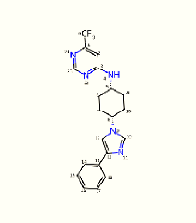 FC(F)(F)c1cc(N[C@H]2CC[C@@H](n3cnc(-c4ccccc4)c3)CC2)ncn1